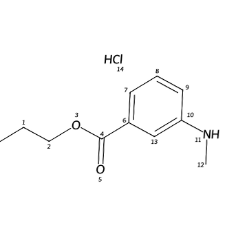 CCCOC(=O)c1cccc(NC)c1.Cl